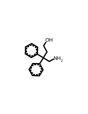 NCC(CCO)(c1ccccc1)c1ccccc1